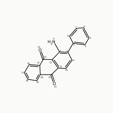 Nc1c(-c2ccccc2)ccc2c1C(=O)c1ccccc1C2=O